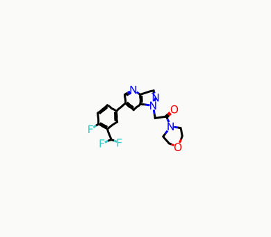 O=C(Cn1ncc2ncc(-c3ccc(F)c(C(F)F)c3)cc21)N1CCOCC1